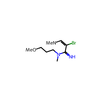 CN/C=C(/Br)C(=N)N(C)CCCOC